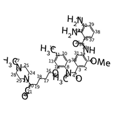 COc1cc(C(=O)N(C)c2ccc(C)cc2OCCCCC(=C=O)N2CCN(C)CC2)ccc1NC(=O)c1cccc(N)c1N